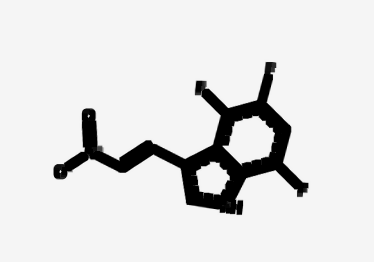 O=[N+]([O-])/C=C/c1c[nH]c2c(F)cc(F)c(F)c12